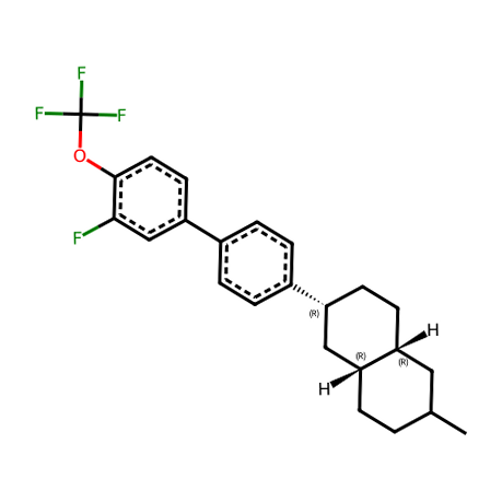 CC1CC[C@@H]2C[C@H](c3ccc(-c4ccc(OC(F)(F)F)c(F)c4)cc3)CC[C@@H]2C1